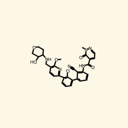 COc1nc(-c2cccc(-c3cccc(NC(=O)c4ccnn(C)c4=O)c3C#N)c2Cl)ccc1CNC1CCOCC1O